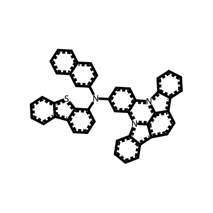 c1ccc2cc(N(c3ccc4c(c3)n3c5ccccc5c5ccc6c7ccccc7n4c6c53)c3cccc4c3sc3ccccc34)ccc2c1